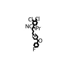 CC(C)C(C#N)(CCCN1CCC(C(=O)c2ccc(F)cc2)CC1)c1ccc(Cl)c(Cl)c1